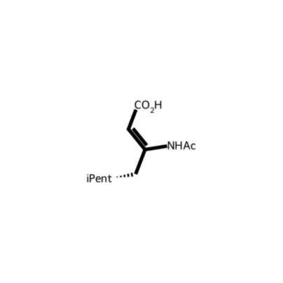 CCC[C@@H](C)C/C(=C/C(=O)O)NC(C)=O